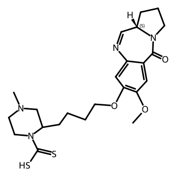 COc1cc2c(cc1OCCCCC1CN(C)CCN1C(=S)S)N=C[C@@H]1CCCN1C2=O